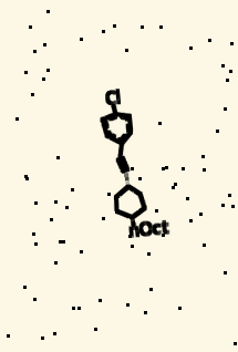 CCCCCCCC[C@H]1CC[C@H](C#Cc2ccc(Cl)cc2)CC1